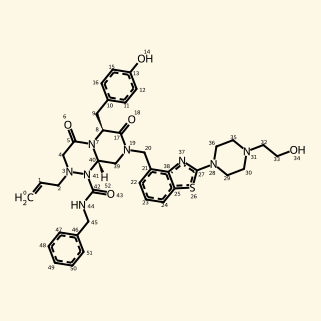 C=CCN1CC(=O)N2[C@@H](Cc3ccc(O)cc3)C(=O)N(Cc3cccc4sc(N5CCN(CCO)CC5)nc34)C[C@@H]2N1C(=O)NCc1ccccc1